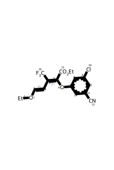 CCO/C=C/C(=C(\Oc1cc(Cl)cc(C#N)c1)C(=O)OCC)C(F)(F)F